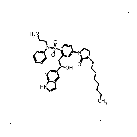 CCCCCCCCN1CCN(c2ccc(S(=O)(=O)N(CCN)c3ccccc3)c(CC(O)c3cnc4[nH]ccc4c3)c2)C1=O